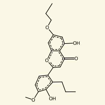 CCCOc1cc(O)c2c(=O)cc(-c3ccc(OC)c(O)c3CCC)oc2c1